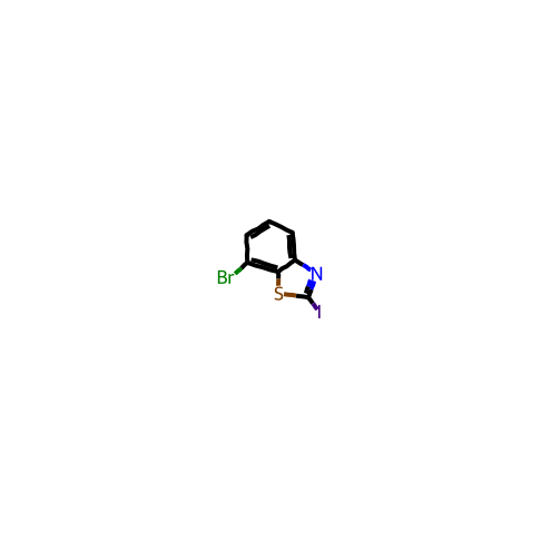 Brc1cccc2nc(I)sc12